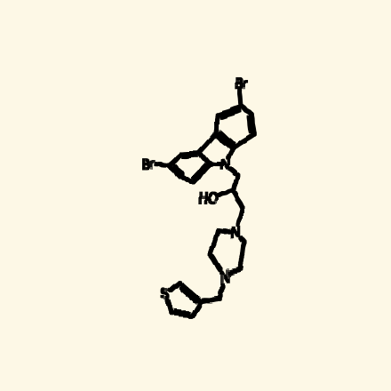 OC(CN1CCN(Cc2ccsc2)CC1)Cn1c2ccc(Br)cc2c2cc(Br)ccc21